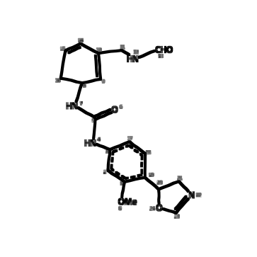 COc1cc(NC(=O)NC2C=C(CNC=O)C=CC2)ccc1C1CN=CO1